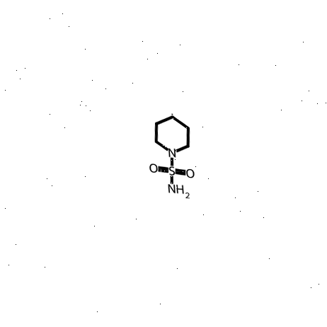 NS(=O)(=O)N1CC[CH]CC1